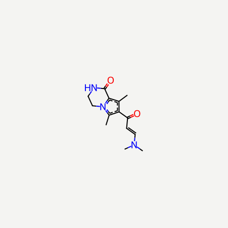 Cc1c(C(=O)C=CN(C)C)c(C)n2c1C(=O)NCC2